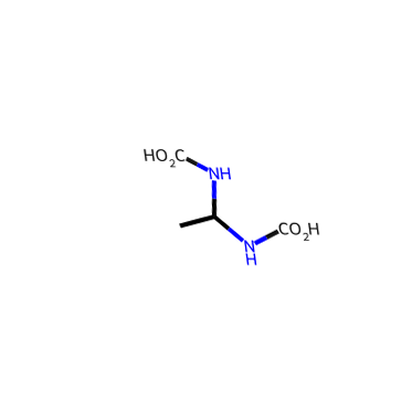 CC(NC(=O)O)NC(=O)O